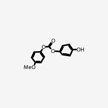 COc1ccc(OC(=O)Oc2ccc(O)cc2)cc1